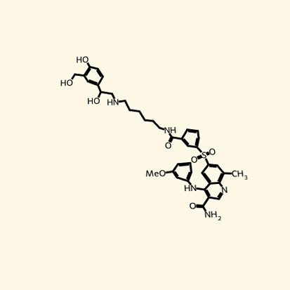 COc1cccc(Nc2c(C(N)=O)cnc3c(C)cc(S(=O)(=O)c4cccc(C(=O)NCCCCCCNCC(O)c5ccc(O)c(CO)c5)c4)cc23)c1